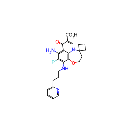 Nc1c(F)c(NCCCc2ccccn2)c2c3c1c(=O)c(C(=O)O)cn3C1(CCC1)CCO2